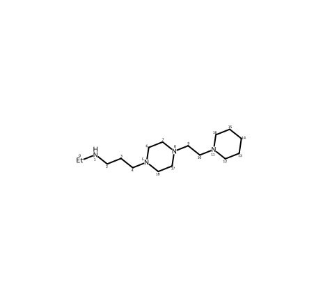 CCNCCCN1CCN(CCN2CCCCC2)CC1